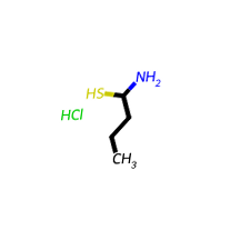 CCCC(N)S.Cl